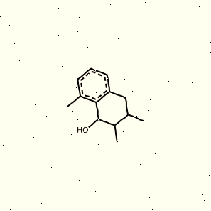 Cc1cccc2c1C(O)C(C)C(C)C2